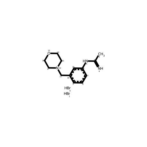 Br.Br.CC(=N)Nc1cccc(CN2CCOCC2)c1